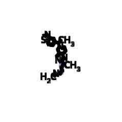 C=N/C=C\C=C(/C)c1ncc2c(n1)CCN(C(C)c1ccc3scnc3c1)C2